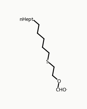 CCCCCCCCCCCCSCCO[C]=O